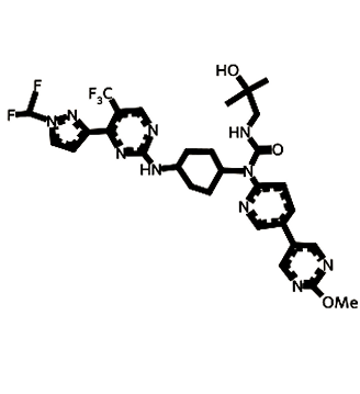 COc1ncc(-c2ccc(N(C(=O)NCC(C)(C)O)C3CCC(Nc4ncc(C(F)(F)F)c(-c5ccn(C(F)F)n5)n4)CC3)nc2)cn1